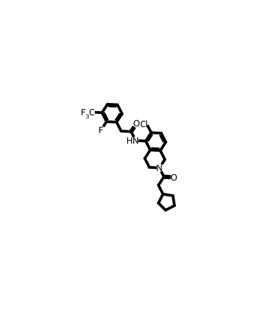 O=C(Cc1cccc(C(F)(F)F)c1F)Nc1c(Cl)ccc2c1CCN(C(=O)CC1CCCC1)C2